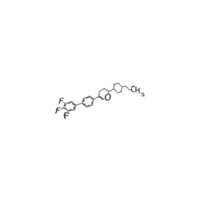 CCCC1CCC(C2CCC(c3ccc(-c4cc(F)c(F)c(F)c4)cc3)=CO2)CC1